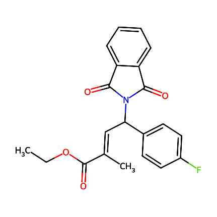 CCOC(=O)/C(C)=C/C(c1ccc(F)cc1)N1C(=O)c2ccccc2C1=O